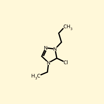 CCCN1N=CN(CC)C1Cl